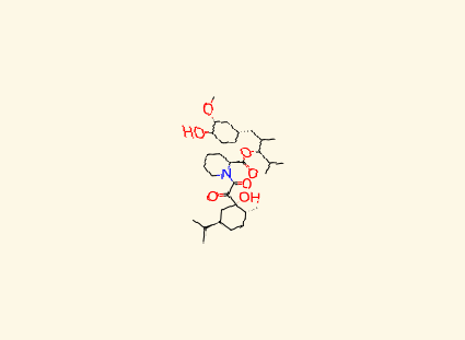 CO[C@@H]1C[C@H](CC(C)C(OC(=O)[C@@H]2CCCCN2C(=O)C(=O)[C@]2(O)C[C@H](C(C)C)CC[C@H]2C)C(C)C)CC[C@H]1O